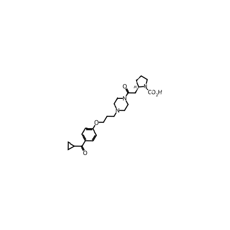 O=C(c1ccc(OCCCN2CCN(C(=O)C[C@H]3CCCN3C(=O)O)CC2)cc1)C1CC1